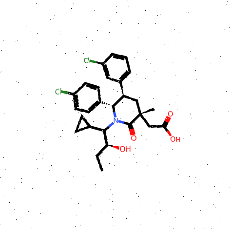 CC[C@H](O)C(C1CC1)N1C(=O)[C@@](C)(CC(=O)O)C[C@H](c2cccc(Cl)c2)[C@H]1c1ccc(Cl)cc1